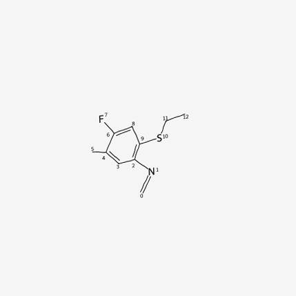 C=Nc1cc(C)c(F)cc1SCC